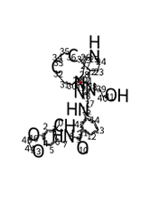 Cc1cc2c(cc1CNC(=O)c1cccc(NCc3nnc(C4CCNCC45CCCCCCCCCC5)n3CCO)c1)OCCO2